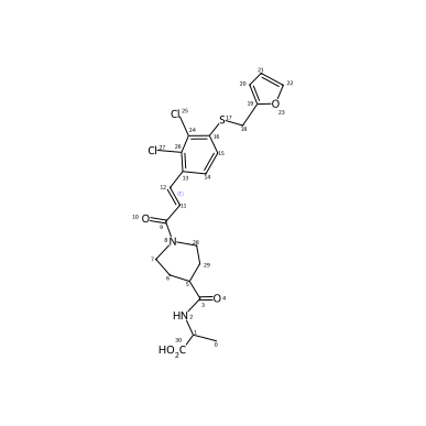 CC(NC(=O)C1CCN(C(=O)/C=C/c2ccc(SCc3ccco3)c(Cl)c2Cl)CC1)C(=O)O